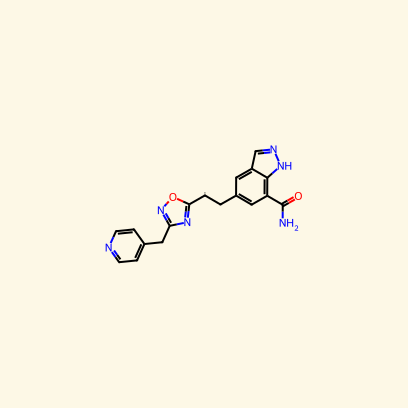 NC(=O)c1cc(C[CH]c2nc(Cc3ccncc3)no2)cc2cn[nH]c12